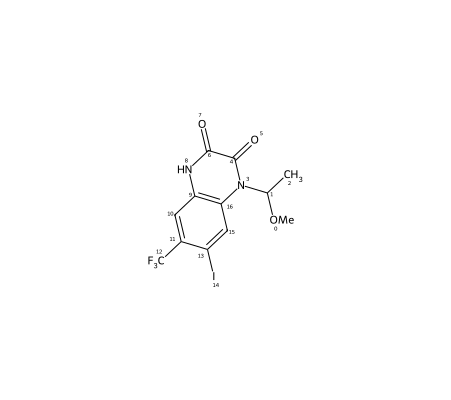 COC(C)n1c(=O)c(=O)[nH]c2cc(C(F)(F)F)c(I)cc21